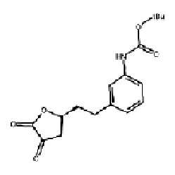 CC(C)(C)OC(=O)Nc1cccc(CC[C@H]2CC(=O)C(=O)O2)c1